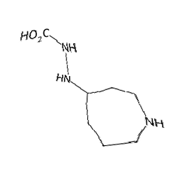 O=C(O)NNC1CCCNCC1